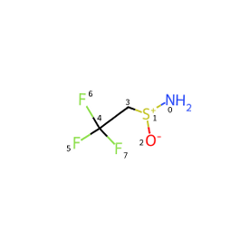 N[S+]([O-])CC(F)(F)F